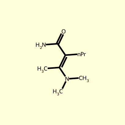 CCCC(C(N)=O)=C(C)N(C)C